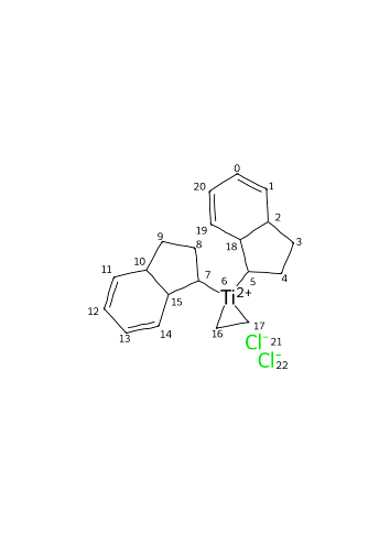 C1=CC2CC[CH]([Ti+2]3([CH]4CCC5C=CC=CC54)[CH2][CH2]3)C2C=C1.[Cl-].[Cl-]